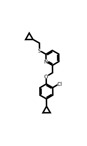 Clc1cc(C2CC2)ccc1OCc1cccc(SCC2CC2)n1